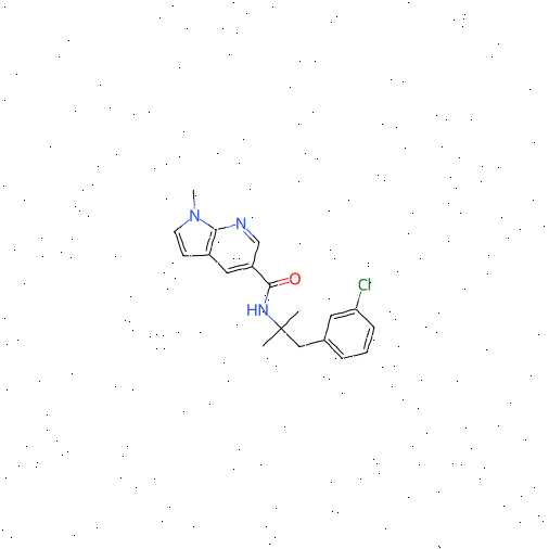 Cn1ccc2cc(C(=O)NC(C)(C)Cc3cccc(Cl)c3)cnc21